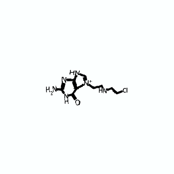 Nc1nc2[nH]c[n+](CCNCCCl)c2c(=O)[nH]1